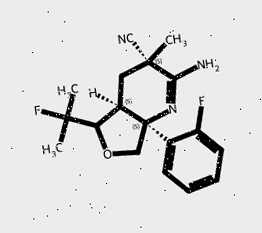 CC(C)(F)C1OC[C@]2(c3ccccc3F)N=C(N)[C@@](C)(C#N)C[C@H]12